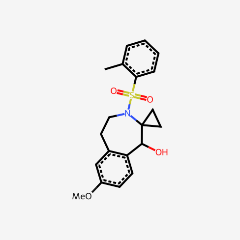 COc1ccc2c(c1)CCN(S(=O)(=O)c1ccccc1C)C1(CC1)C2O